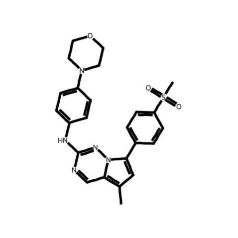 Cc1cc(-c2ccc(S(C)(=O)=O)cc2)n2nc(Nc3ccc(N4CCOCC4)cc3)ncc12